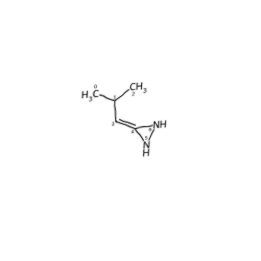 CC(C)C=C1NN1